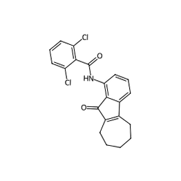 O=C(Nc1cccc2c1C(=O)C1=C2CCCCC1)c1c(Cl)cccc1Cl